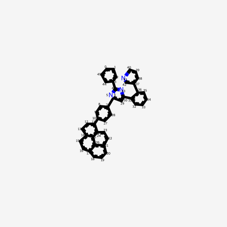 c1ccc(-c2nc(-c3ccc(-c4ccc5ccc6cccc7ccc4c5c67)cc3)cc(-c3ccccc3-c3cccnc3)n2)cc1